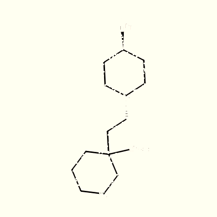 CCCC(C)C1(CC[C@H]2CC[C@H](CCC)CC2)CCCCC1